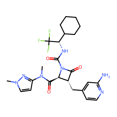 CN(C(=O)[C@@H]1[C@@H](Cc2ccnc(N)c2)C(=O)N1C(=O)N[C@@H](C1CCCCC1)C(F)(F)F)c1ccn(C)n1